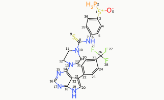 [O-][S+](P)c1ccc(NC(=S)N2CCN(c3ncnc4[nH]cc(-c5ccc(C(F)(F)F)cc5)c34)CC2)cc1